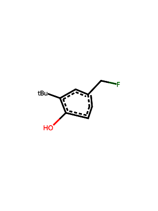 CC(C)(C)c1cc(CF)ccc1O